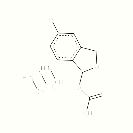 CC(=O)OC1OCc2cc(O)ccc21.CN.CN.CN